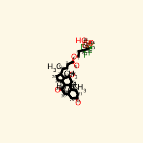 C[C@H](CCC(=O)OCCC(F)(F)C(F)(F)S(=O)(=O)O)C1CC[C@H]2[C@@H]3C(=O)CC4CC(=O)CC[C@]4(C)[C@H]3CC(=O)[C@]12C